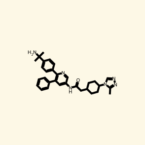 Cc1nncn1C1CCC(CC(=O)Nc2cnc(-c3ccc(C(C)(C)N)cc3)c(-c3ccccc3)c2)CC1